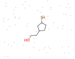 O[C]CC1CCC(S)C1